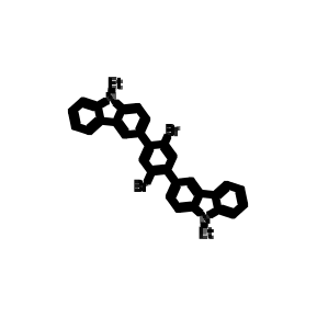 CCn1c2ccccc2c2cc(-c3cc(Br)c(-c4ccc5c(c4)c4ccccc4n5CC)cc3Br)ccc21